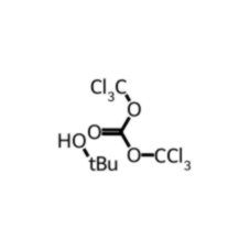 CC(C)(C)O.O=C(OC(Cl)(Cl)Cl)OC(Cl)(Cl)Cl